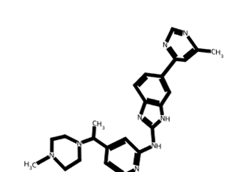 Cc1cc(-c2ccc3nc(Nc4cc(C(C)N5CCN(C)CC5)ccn4)[nH]c3c2)ncn1